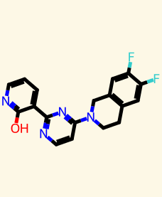 Oc1ncccc1-c1nccc(N2CCc3cc(F)c(F)cc3C2)n1